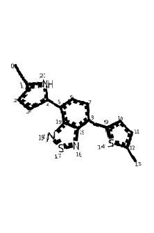 Cc1ccc(-c2ccc(-c3ccc(C)s3)c3nsnc23)[nH]1